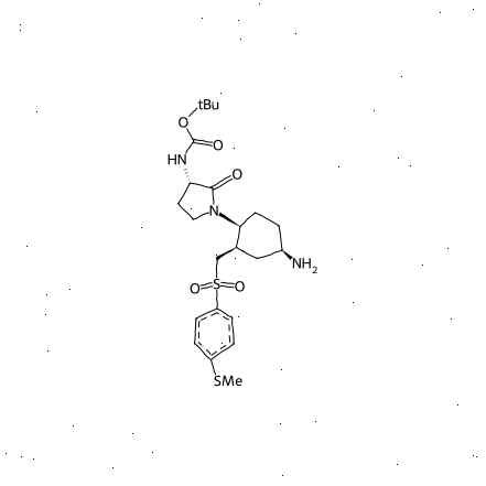 CSc1ccc(S(=O)(=O)C[C@@H]2C[C@H](N)CC[C@@H]2N2CC[C@H](NC(=O)OC(C)(C)C)C2=O)cc1